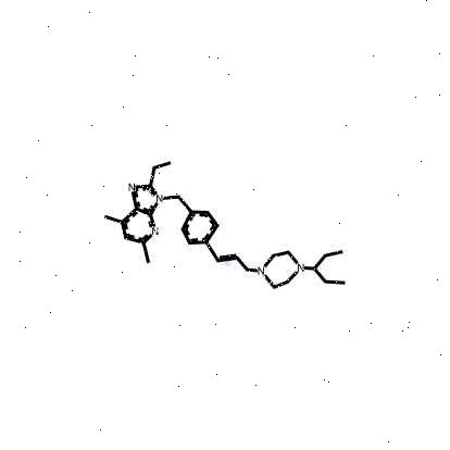 CCc1nc2c(C)cc(C)nc2n1Cc1ccc(/C=C/CN2CCN(C(CC)CC)CC2)cc1